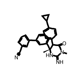 CN1C(=N)N[C@](C)(c2cccc(-c3cccc(C#N)c3)c2)C(c2ccc(C3CC3)cc2)C1=O